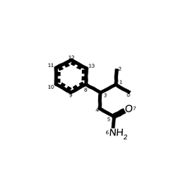 CC(C)C(CC(N)=O)c1ccccc1